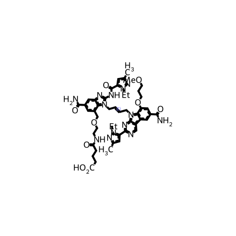 CCn1nc(C)cc1C(=O)Nc1nc2cc(C(N)=O)cc(COCCNC(=O)CCCC(=O)O)c2n1C/C=C/Cn1c2nc(-c3cc(C)nn3CC)ncc2c2cc(C(N)=O)cc(OCCCOC)c21